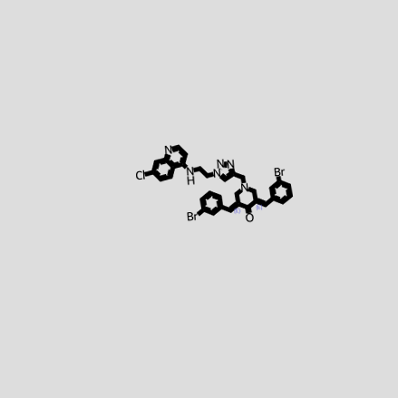 O=C1/C(=C/c2cccc(Br)c2)CN(Cc2cn(CCNc3ccnc4cc(Cl)ccc34)nn2)C/C1=C\c1cccc(Br)c1